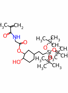 C=C(C)C(=O)NCC(=O)OC1CC(CC[Si](O[Si](C)(C)C)(O[Si](C)(C)C)O[Si](C)(C)C)CCC1O